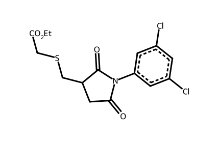 CCOC(=O)CSCC1CC(=O)N(c2cc(Cl)cc(Cl)c2)C1=O